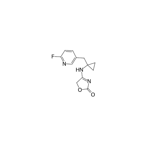 O=C1N=C(NC2(Cc3ccc(F)nc3)CC2)CO1